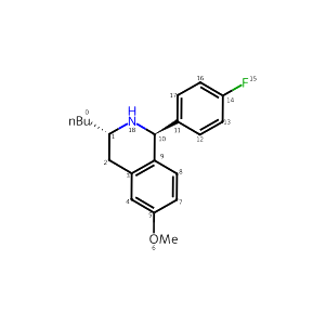 CCCC[C@H]1Cc2cc(OC)ccc2[C@H](c2ccc(F)cc2)N1